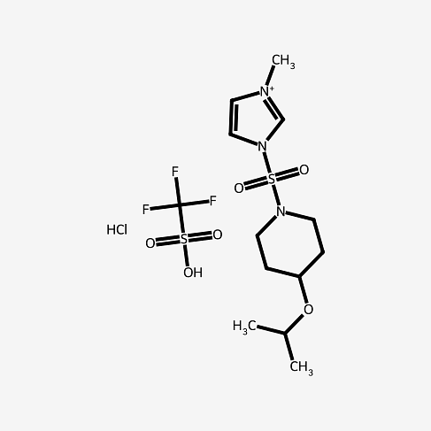 CC(C)OC1CCN(S(=O)(=O)n2cc[n+](C)c2)CC1.Cl.O=S(=O)(O)C(F)(F)F